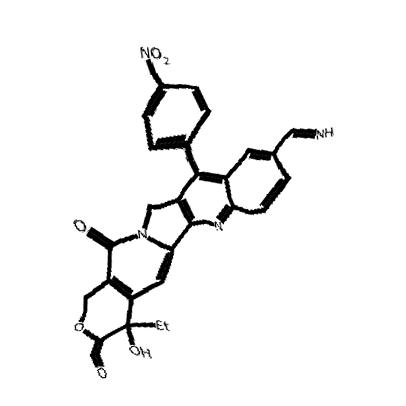 CCC1(O)C(=O)OCc2c1cc1n(c2=O)Cc2c-1nc1ccc(C=N)cc1c2-c1ccc([N+](=O)[O-])cc1